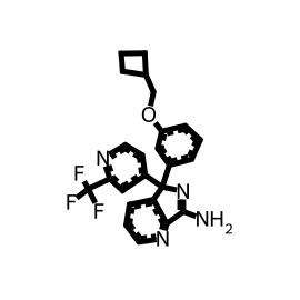 NC1=NC(c2cccc(OCC3CCC3)c2)(c2ccnc(C(F)(F)F)c2)c2cccnc21